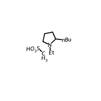 CCCCC1CCCN1CC.CS(=O)(=O)O